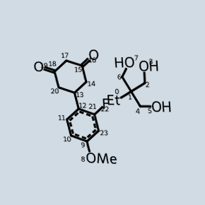 CCC(CO)(CO)CO.COc1ccc(C2CC(=O)CC(=O)C2)c(F)c1